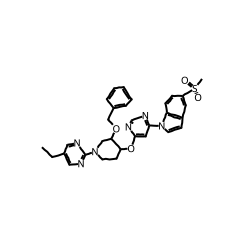 CCc1cnc(N2CCC(Oc3cc(-n4ccc5cc(S(C)(=O)=O)ccc54)ncn3)C(OCc3ccccc3)C2)nc1